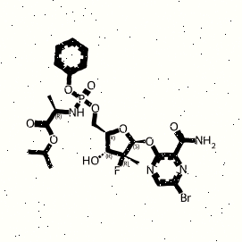 CC(C)OC(=O)[C@@H](C)NP(=O)(OC[C@H]1O[C@@H](Oc2ncc(Br)nc2C(N)=O)[C@](C)(F)[C@@H]1O)Oc1ccccc1